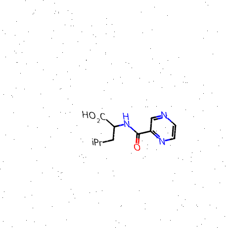 CC(C)CC(NC(=O)c1cnccn1)C(=O)O